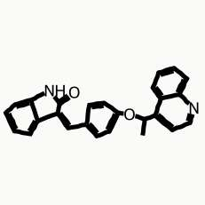 CC(Oc1ccc(/C=C2\C(=O)Nc3ccccc32)cc1)c1ccnc2ccccc12